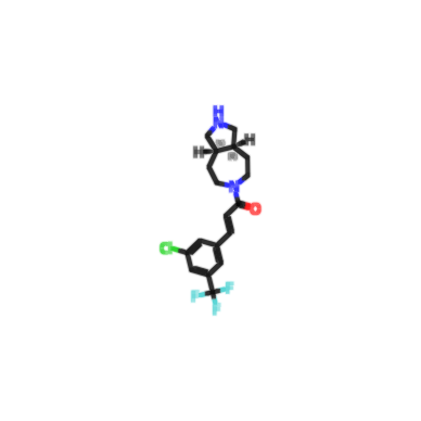 O=C(C=Cc1cc(Cl)cc(C(F)(F)F)c1)N1CC[C@@H]2CNC[C@@H]2CC1